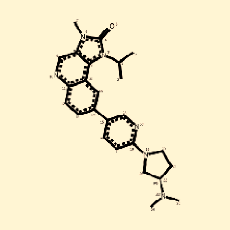 CC(C)n1c(=O)n(C)c2cnc3ccc(-c4ccc(N5CC[C@@H](N(C)C)C5)nc4)cc3c21